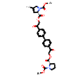 CC1=C[C@@H](C(=O)OCC(=O)c2ccc(-c3ccc(C(=O)COC(=O)[C@@H]4CCCN4C(=O)OC(C)(C)C)cc3)cc2)N(C(=O)OC(C)(C)C)C1